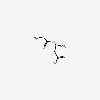 COC(=O)N[C@@H](C)CC(=O)O